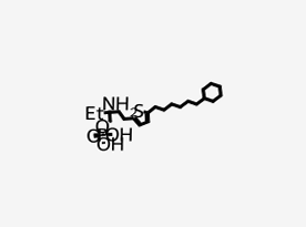 CCC(N)(CCc1ccc(CCCCCCC2CCCCC2)s1)COP(=O)(O)O